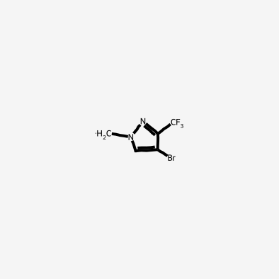 [CH2]n1cc(Br)c(C(F)(F)F)n1